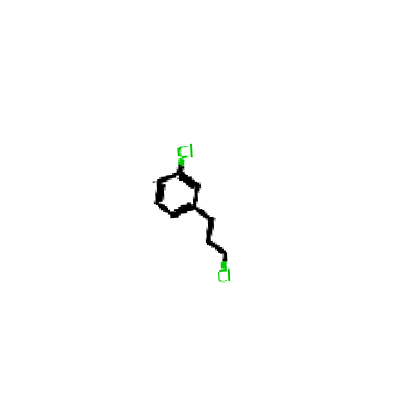 ClCCCc1cc[c]c(Cl)c1